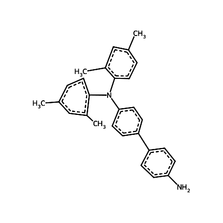 Cc1ccc(N(c2ccc(-c3ccc(N)cc3)cc2)c2ccc(C)cc2C)c(C)c1